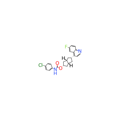 O=C(Nc1ccc(Cl)cc1)O[C@@H]1C[C@@H]2C[C@H](c3ccnc4ccc(F)cc34)C[C@@H]2C1